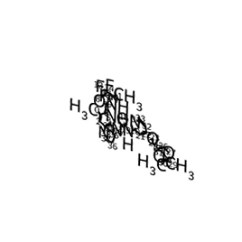 CC1=CC2=C(NC1C(=O)N[C@H](C)C(F)(F)F)N(C(=O)Nc1cc(OC[C@H]3COC(C)(C)O3)ccn1)C1CCN2C1